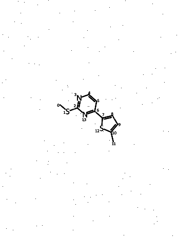 CSc1nccc(-c2ccc(C)s2)n1